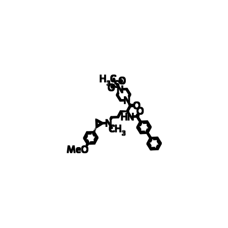 COc1ccc([C@@H]2CC2N(C)CCC[C@H](NC(=O)c2ccc(-c3ccccc3)cc2)C(=O)N2CCN(S(C)(=O)=O)CC2)cc1